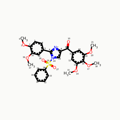 COc1ccc(-c2nc(C(=O)c3cc(OC)c(OC)c(OC)c3)cn2S(=O)(=O)c2ccccc2)cc1OC